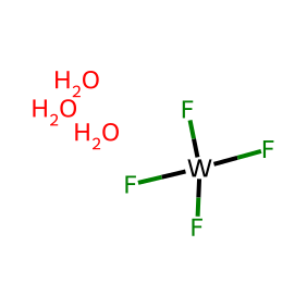 O.O.O.[F][W]([F])([F])[F]